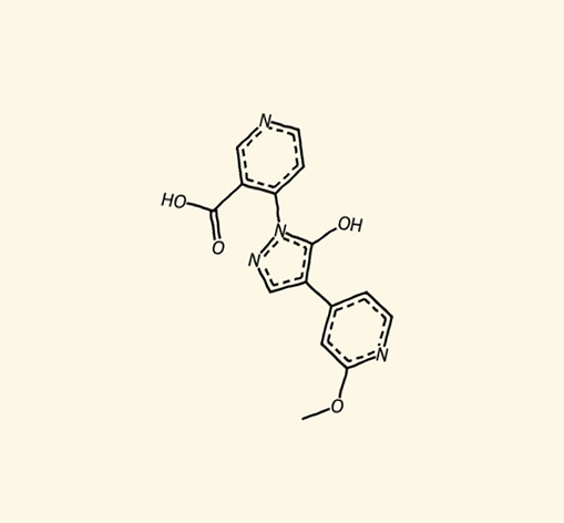 COc1cc(-c2cnn(-c3ccncc3C(=O)O)c2O)ccn1